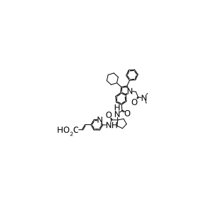 CN(C)C(=O)Cn1c(-c2ccccc2)c(C2CCCCC2)c2ccc(C(=O)NC3(C(=O)Nc4ccc(C=CC(=O)O)cn4)CCCC3)cc21